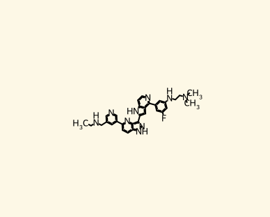 CCNCc1cncc(-c2ccc3[nH]nc(-c4cc5c(-c6cc(F)cc(NCCN(C)C)c6)nccc5[nH]4)c3n2)c1